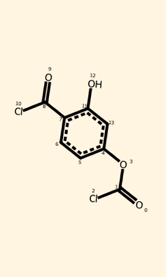 O=C(Cl)Oc1ccc(C(=O)Cl)c(O)c1